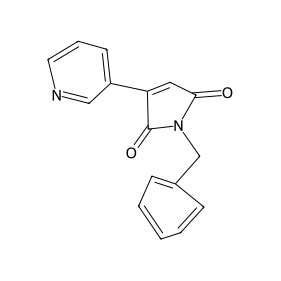 O=C1C=C(c2cccnc2)C(=O)N1Cc1ccccc1